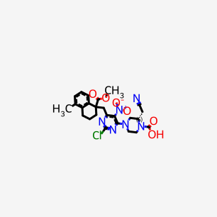 COC(=O)C1(Cc2nc(Cl)nc(N3CCN(C(=O)O)[C@@H](CC#N)C3)c2[N+](=O)[O-])CCCc2c(C)cccc21